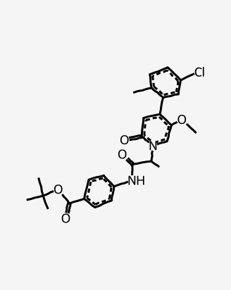 COc1cn(C(C)C(=O)Nc2ccc(C(=O)OC(C)(C)C)cc2)c(=O)cc1-c1cc(Cl)ccc1C